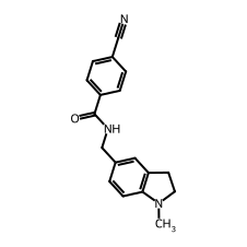 CN1CCc2cc(CNC(=O)c3ccc(C#N)cc3)ccc21